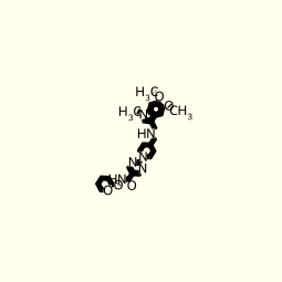 COc1cc2c(CNCC3CCN(c4ncc(C(=O)NOC5CCCCO5)cn4)CC3)cn(C)c2cc1OC